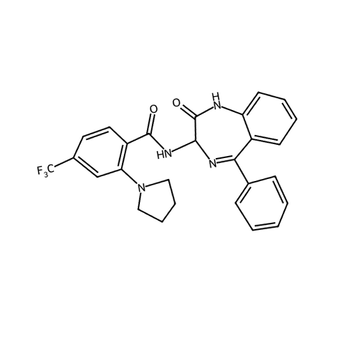 O=C(NC1N=C(c2ccccc2)c2ccccc2NC1=O)c1ccc(C(F)(F)F)cc1N1CCCC1